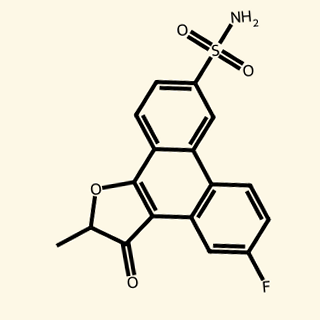 CC1Oc2c(c3cc(F)ccc3c3cc(S(N)(=O)=O)ccc23)C1=O